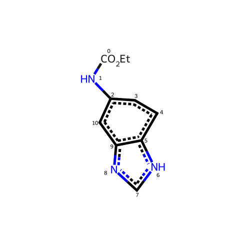 CCOC(=O)Nc1ccc2[nH]cnc2c1